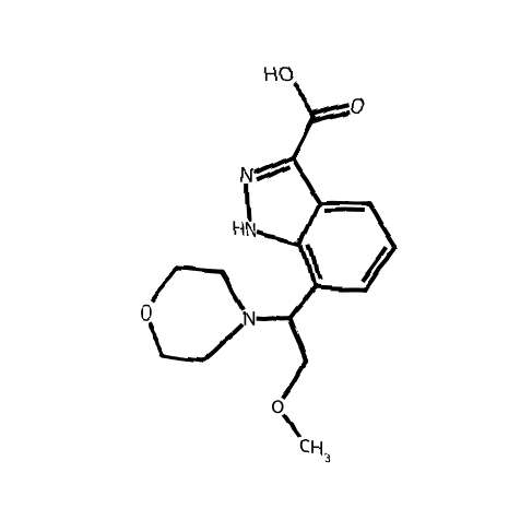 COCC(c1cccc2c(C(=O)O)n[nH]c12)N1CCOCC1